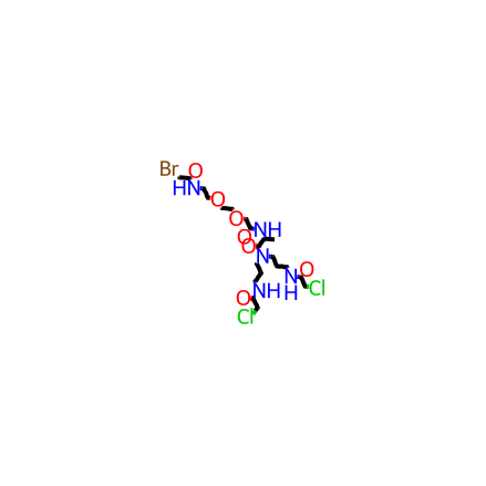 CC(NC(=O)COCCOCCNC(=O)CBr)C(=O)N(CCCNC(=O)CCl)CCCNC(=O)CCl